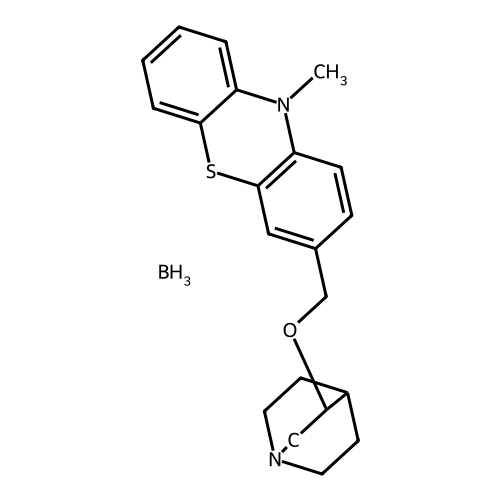 B.CN1c2ccccc2Sc2cc(COC3CN4CCC3CC4)ccc21